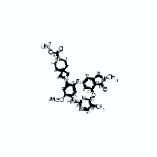 COc1cc(N2CC3(CCN(C(=O)OC(C)(C)C)CC3)C2)c(F)cc1Nc1ncc(C(F)(F)F)c(Oc2cccc3c2C(=O)N(C)C3)n1